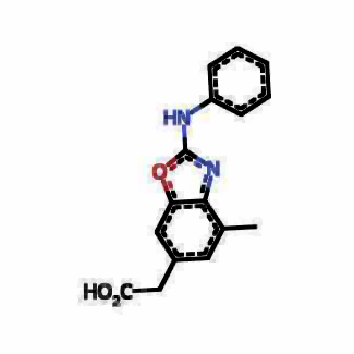 Cc1cc(CC(=O)O)cc2oc(Nc3ccccc3)nc12